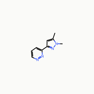 Cc1cc(-c2cccnn2)nn1C